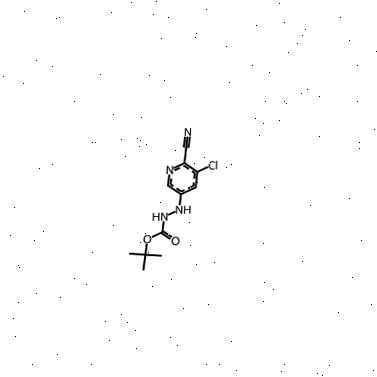 CC(C)(C)OC(=O)NNc1cnc(C#N)c(Cl)c1